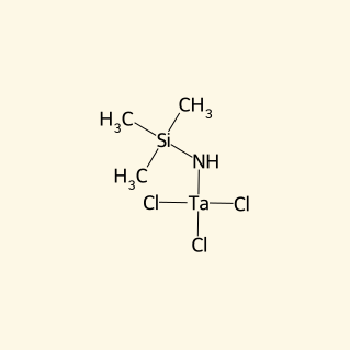 C[Si](C)(C)[NH][Ta]([Cl])([Cl])[Cl]